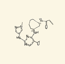 C=CC(=O)N[C@H]1CCCC[C@H](Nc2nc(Nc3cnn(C)c3)ncc2Cl)C1